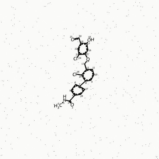 CNC(=O)c1ccc(-c2cccc(COc3cc(O)c(C=O)cc3Cl)c2Cl)cc1